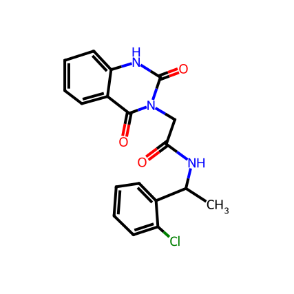 CC(NC(=O)Cn1c(=O)[nH]c2ccccc2c1=O)c1ccccc1Cl